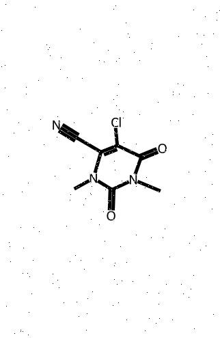 Cn1c(C#N)c(Cl)c(=O)n(C)c1=O